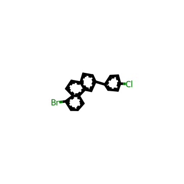 Clc1ccc(-c2ccc3ccc4c(Br)cccc4c3c2)cc1